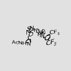 CC(=O)Nc1cc(COc2nsnc2N2CCN(C(=O)Nc3cc(C(F)(F)F)cc(C(F)(F)F)c3)CC2)ccn1